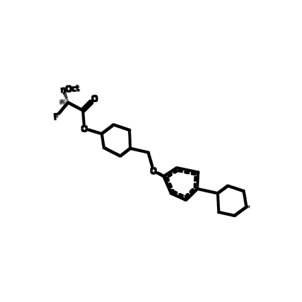 CCCCCCCC[C@@H](F)C(=O)OC1CCC(COc2ccc(C3CC[CH]CC3)cc2)CC1